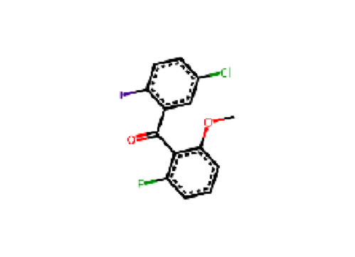 COc1cccc(F)c1C(=O)c1cc(Cl)ccc1I